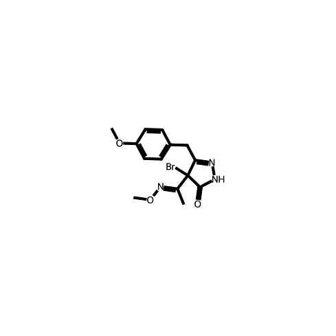 CON=C(C)C1(Br)C(=O)NN=C1Cc1ccc(OC)cc1